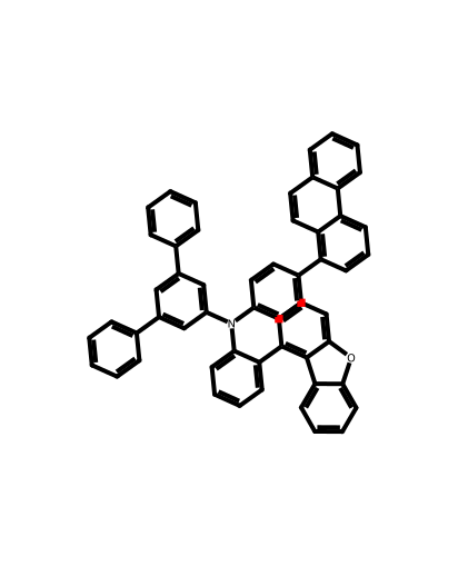 c1ccc(-c2cc(-c3ccccc3)cc(N(c3ccc(-c4cccc5c4ccc4ccccc45)cc3)c3ccccc3-c3cccc4oc5ccccc5c34)c2)cc1